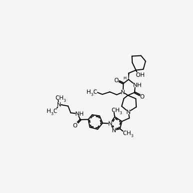 CCCCN1C(=O)[C@@H](CC2(O)CCCCC2)NC(=O)C12CCN(Cc1c(C)nn(-c3ccc(C(=O)NCCN(C)C)cc3)c1C)CC2